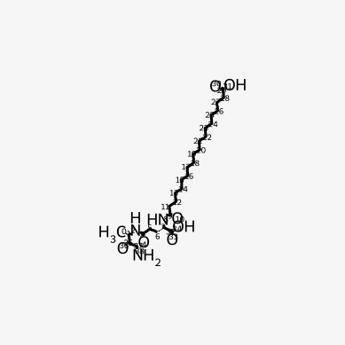 C[C@H](NC(=O)CC[C@H](NC(=O)CCCCCCCCCCCCCCCCCCC(=O)O)C(=O)O)C(=O)CN